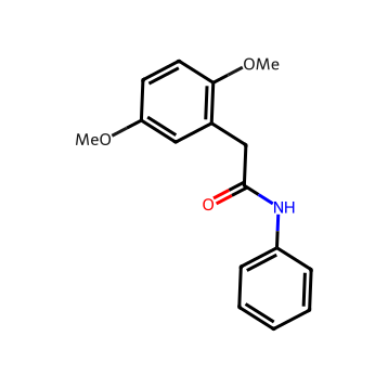 COc1ccc(OC)c(CC(=O)Nc2ccccc2)c1